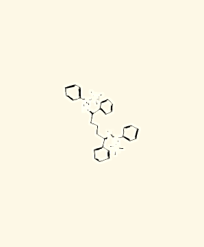 C[Si](C)(C)N(N=C(CCCC(=NN(c1ccccc1)[Si](C)(C)C)c1ccccc1)c1ccccc1)c1ccccc1